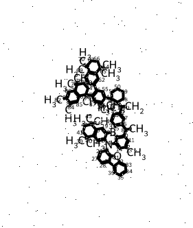 C=C(c1ccc2c(c1)C(C)c1cc(C)cc3c1B2c1cc2c(cc1N3c1cccc3c1oc1ccccc13)C(C)(C)CCC2(C)C)C1(C)CCCCC1(C)c1cc(-c2ccc3c(c2)C(C)(C)CCC3(C)C)c(C2(C)CCC(C)(C)c3cc(C)c(C)cc32)cc1C